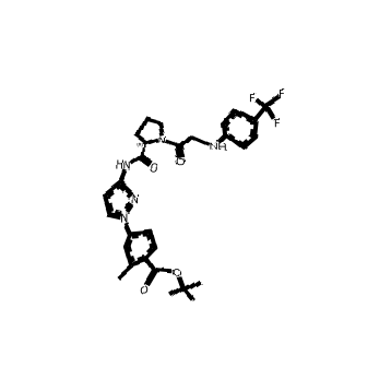 Cc1cc(-n2ccc(NC(=O)[C@H]3CCCN3C(=O)CNc3ccc(C(F)(F)F)cc3)n2)ccc1C(=O)OC(C)(C)C